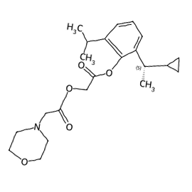 CC(C)c1cccc([C@@H](C)C2CC2)c1OC(=O)COC(=O)CN1CCOCC1